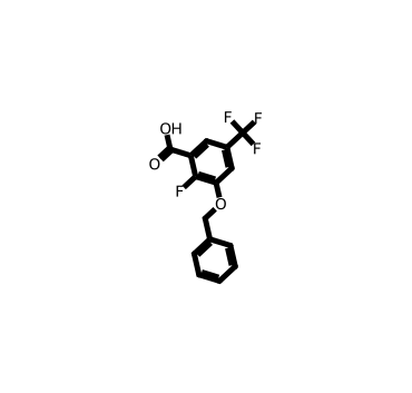 O=C(O)c1cc(C(F)(F)F)cc(OCc2ccccc2)c1F